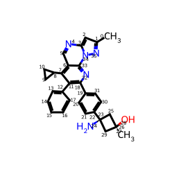 Cc1cc2ncc3c(C4CC4)c(-c4ccccc4)c(-c4ccc([C@]5(N)C[C@@](C)(O)C5)cc4)nc3n2n1